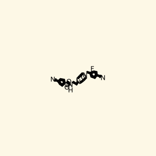 N#Cc1ccc(S(=O)(=O)NCCN2CC3CN(Cc4ccc(C#N)cc4F)CC(C2)O3)cc1